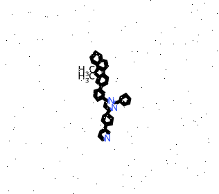 CC1(C)c2cc(-c3cccc(-c4cc(-c5ccc(-c6cccnc6)cc5)nc(-c5ccccc5)n4)c3)ccc2-c2ccc3ccccc3c21